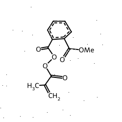 C=C(C)C(=O)OOC(=O)c1ccccc1C(=O)OC